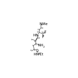 CCNOC(C)CC(N)/C(C)=C/NC(CCNC)C(F)F